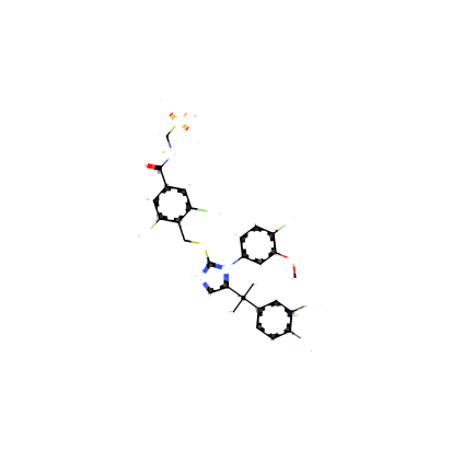 COc1cc(-n2c(C(C)(C)c3ccc(Cl)c(Cl)c3)cnc2SCc2c(F)cc(C(=O)NCS(=O)(=O)O)cc2F)ccc1F